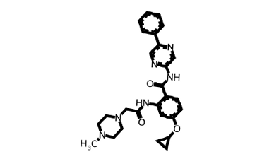 CN1CCN(CC(=O)Nc2cc(OC3CC3)ccc2C(=O)Nc2cnc(-c3ccccc3)cn2)CC1